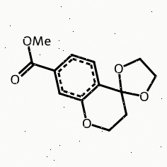 COC(=O)c1ccc2c(c1)OCCC21OCCO1